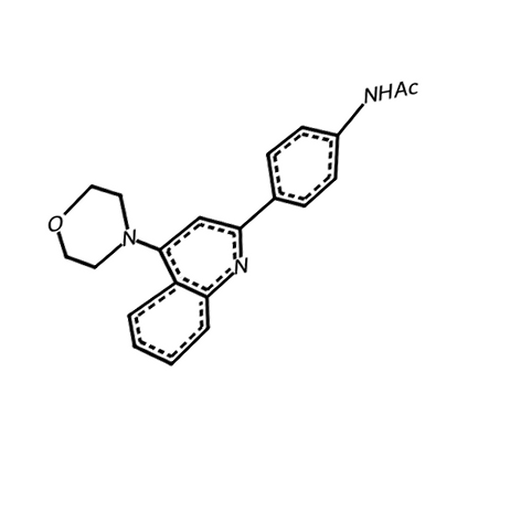 CC(=O)Nc1ccc(-c2cc(N3CCOCC3)c3ccccc3n2)cc1